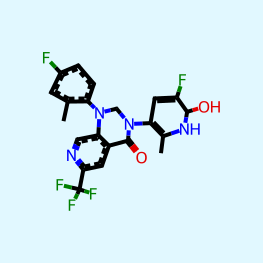 CC1=C(N2CN(c3ccc(F)cc3C)c3cnc(C(F)(F)F)cc3C2=O)C=C(F)C(O)N1